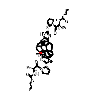 CC(C)[C@H](NC(=O)OCCF)C(=O)N1CCC[C@H]1c1nc2cc(-c3cc4ccc3CCc3ccc(c(-c5ccc6[nH]c([C@@H]7CCCN7C(=O)[C@@H](NC(=O)OCCI)C(C)C)nc6c5)c3)C[C@H]4C)ccc2[nH]1